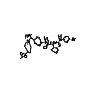 CC1OC(C2CCN(C(=N)c3ccc(NC(=O)C(NC(=S)Nc4ccc(Br)cc4)c4ccccc4)cc3)CC2)O1